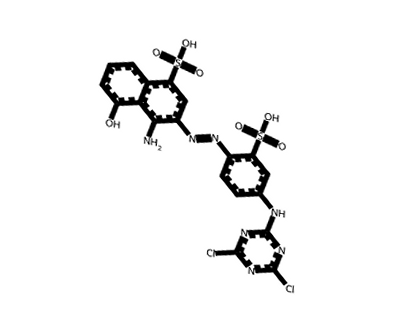 Nc1c(N=Nc2ccc(Nc3nc(Cl)nc(Cl)n3)cc2S(=O)(=O)O)cc(S(=O)(=O)O)c2cccc(O)c12